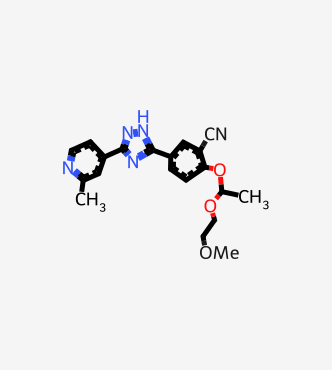 COCCOC(C)Oc1ccc(-c2nc(-c3ccnc(C)c3)n[nH]2)cc1C#N